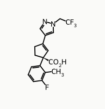 Cc1c(F)cccc1[C@@]1(C(=O)O)C=C(c2cnn(CC(F)(F)F)c2)CC1